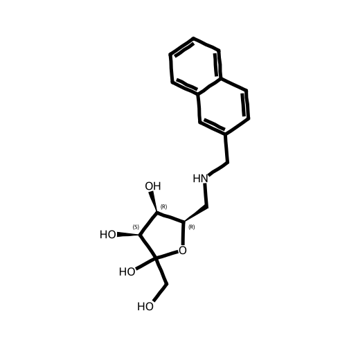 OCC1(O)O[C@H](CNCc2ccc3ccccc3c2)[C@H](O)[C@@H]1O